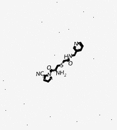 N#C[C@@H]1CCCN1C(=O)[C@@H](N)CSCC(=O)NCc1cccnc1